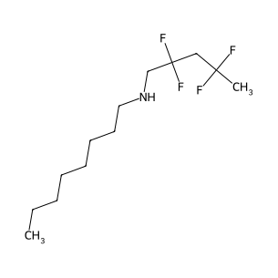 CCCCCCCCNCC(F)(F)CC(C)(F)F